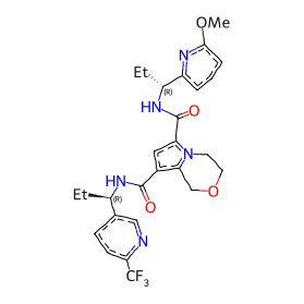 CC[C@@H](NC(=O)c1cc(C(=O)N[C@H](CC)c2cccc(OC)n2)n2c1COCC2)c1ccc(C(F)(F)F)nc1